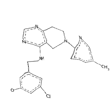 Cc1ccc(N2CCc3ncnc(NCc4cc(Cl)cc(Cl)c4)c3C2)nc1